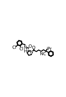 CC(C)C(C#N)(CCCCC(=O)N1CCC[C@@H]1C(=O)NCc1cccc(Cl)c1Cl)c1ccccc1